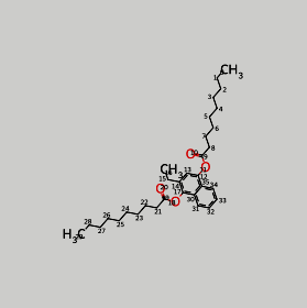 CCCCCCCCCC(=O)Oc1cc(CC)c(OC(=O)CCCCCCCCC)c2ccccc12